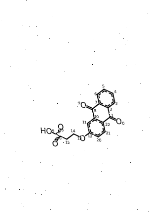 O=C1c2ccccc2C(=O)c2cc(OCCS(=O)(=O)O)ccc21